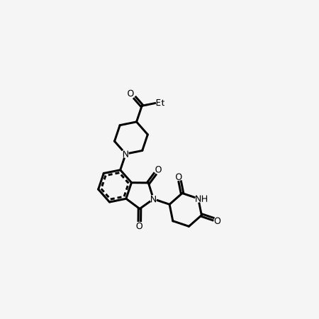 CCC(=O)C1CCN(c2cccc3c2C(=O)N(C2CCC(=O)NC2=O)C3=O)CC1